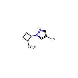 N#Cc1cnn(C2CCC2C(=O)O)c1